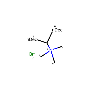 CCCCCCCCCCC(CCCCCCCCCC)[N+](C)(C)C.[Br-]